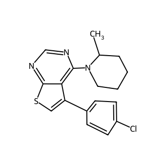 CC1CCCCN1c1ncnc2scc(-c3ccc(Cl)cc3)c12